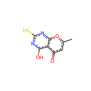 Cc1cc(=O)c2c(O)nc(S)nc2o1